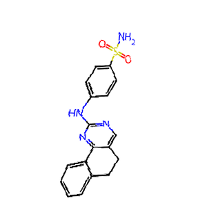 NS(=O)(=O)c1ccc(Nc2ncc3c(n2)-c2ccccc2CC3)cc1